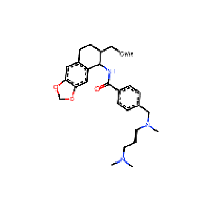 COCC1CCc2cc3c(cc2C1NC(=O)c1ccc(CN(C)CCCN(C)C)cc1)OCO3